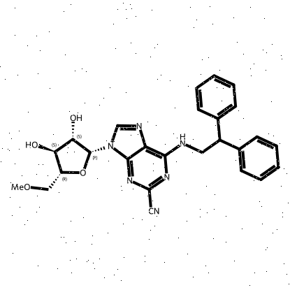 COC[C@H]1O[C@@H](n2cnc3c(NCC(c4ccccc4)c4ccccc4)nc(C#N)nc32)[C@@H](O)[C@@H]1O